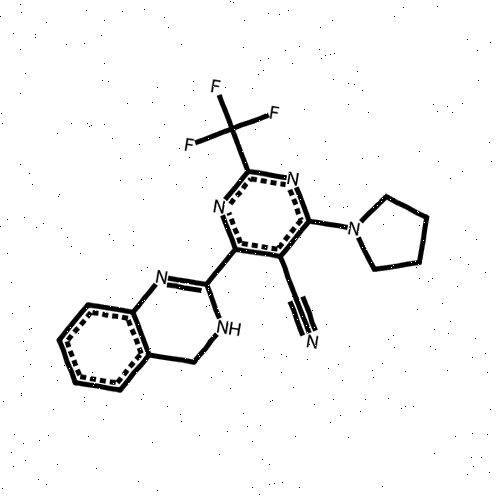 N#Cc1c(C2=Nc3ccccc3CN2)nc(C(F)(F)F)nc1N1CCCC1